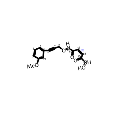 COc1cccc(C#CCONC(=O)/C=C\C(=O)NO)c1